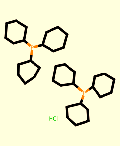 C1CCC(P(C2CCCCC2)C2CCCCC2)CC1.C1CCC(P(C2CCCCC2)C2CCCCC2)CC1.Cl